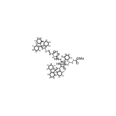 COC(=O)CCCCNC(=O)[C@@H](CSC(c1ccccc1)(c1ccccc1)c1ccccc1)NC(=O)[C@@H](Cc1ccccc1)NC(=O)C[C@H](O)C=CCCSC(c1ccccc1)(c1ccccc1)c1ccccc1